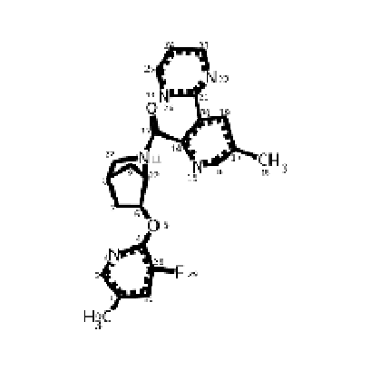 Cc1cnc(OC2CC3CC2N(C(=O)c2ncc(C)cc2-c2ncccn2)C3)c(F)c1